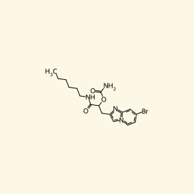 CCCCCCNC(=O)C(Cc1cn2ccc(Br)cc2n1)OC(N)=O